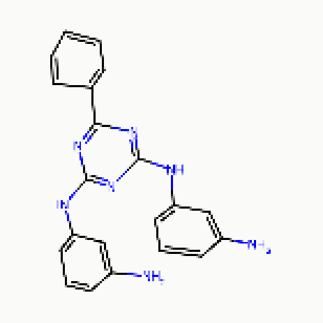 Nc1cccc(Nc2nc(Nc3cccc(N)c3)nc(-c3ccccc3)n2)c1